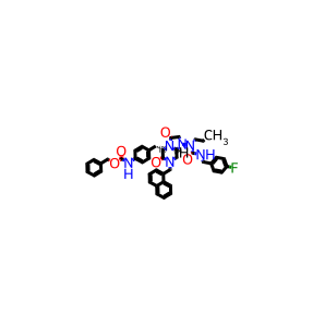 CCCN(C(=O)NCc1ccc(F)cc1)N1CC(=O)N2[C@@H](Cc3ccc(NC(=O)OCc4ccccc4)cc3)C(=O)N(Cc3cccc4ccccc34)C[C@@H]21